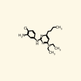 CCCCc1cc(N(CC)CC)nc(Nc2ccc(Cl)c(N)c2)n1